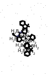 B/C(C#C)=C(B)/C(B)=C(/B)CN1c2ccccc2N(c2c(B)c(B)c(B)c(B)c2B)C12N(c1ccc3c(c1)C(C)(C)c1ccccc1-3)c1ccccc1N2c1ccc2c(c1)C(C)(C)c1ccccc1-2